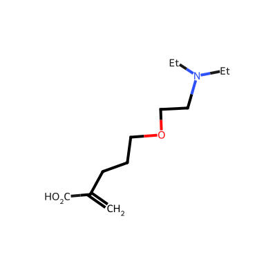 C=C(CCCOCCN(CC)CC)C(=O)O